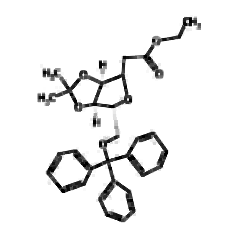 CCOC(=O)CC1O[C@H](COC(c2ccccc2)(c2ccccc2)c2ccccc2)[C@H]2OC(C)(C)O[C@@H]12